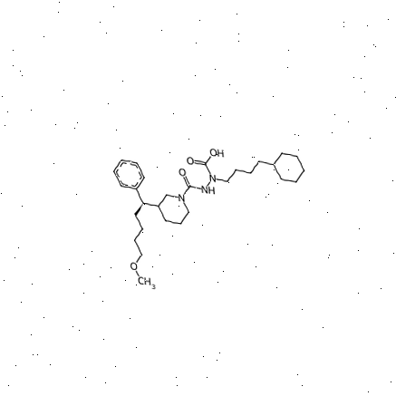 COCCCC[C@@H](c1ccccc1)C1CCCN(C(=O)NN(CCCCC2CCCCC2)C(=O)O)C1